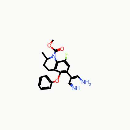 COC(=O)N1c2c(F)cc(/C(C=N)=C/N)c(Oc3ccccc3)c2CCC1C